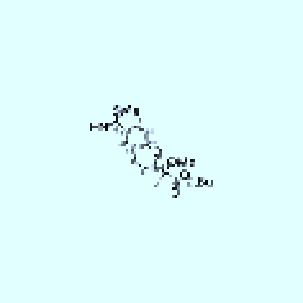 CO[C@](C)(C(=O)OC(C)(C)C)[C@H]1CCc2cc(C(=N)SC)ccc2O1